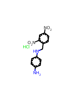 Cl.Nc1ccc(NCc2ccc([N+](=O)[O-])cc2[N+](=O)[O-])cc1